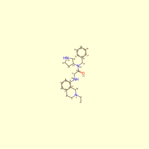 CCN1CCc2cccc(NCC(=O)N(Cc3ccccc3)C3CCNC3)c2C1